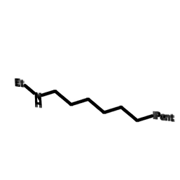 CCCC(C)CCCCCCNCC